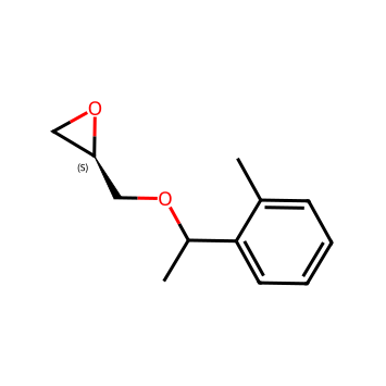 Cc1ccccc1C(C)OC[C@H]1CO1